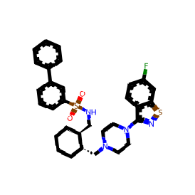 O=S(=O)(NC[C@@H]1CCCC[C@H]1CN1CCN(c2nsc3cc(F)ccc23)CC1)c1cccc(-c2ccccc2)c1